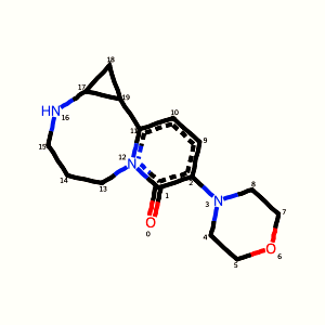 O=c1c(N2CCOCC2)ccc2n1CCCNC1CC21